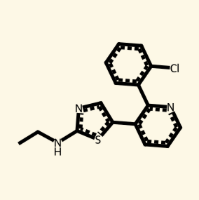 CCNc1ncc(-c2cccnc2-c2ccccc2Cl)s1